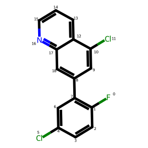 Fc1ccc(Cl)cc1-c1cc(Cl)c2cccnc2c1